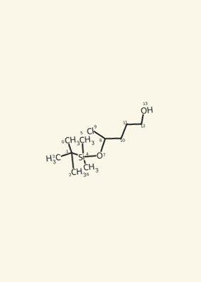 CC(C)(C)[Si](C)(C)OC(Cl)CCCO